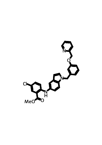 COC(=O)c1cc(Cl)ccc1Nc1ccc2c(ccn2Cc2cccc(OCc3ccccn3)c2)c1